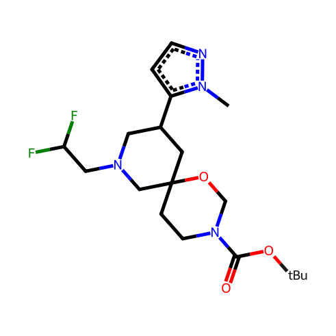 Cn1nccc1C1CN(CC(F)F)CC2(CCN(C(=O)OC(C)(C)C)CO2)C1